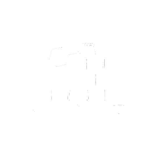 N#Cc1ccnc(Nc2cc(C3CC3)cc(-c3ccc4ncn(C5CCCCC5O)c4c3)n2)c1